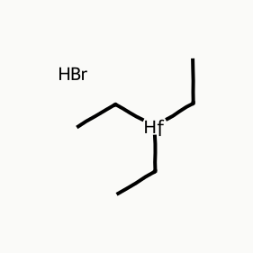 Br.C[CH2][Hf]([CH2]C)[CH2]C